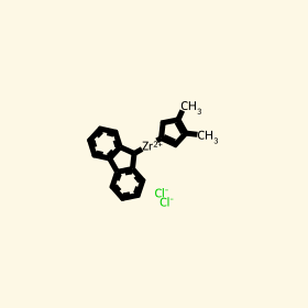 CC1=C(C)C[C]([Zr+2][CH]2c3ccccc3-c3ccccc32)=C1.[Cl-].[Cl-]